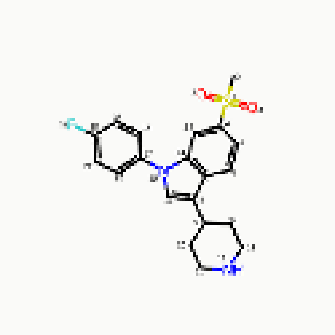 CS(=O)(=O)c1ccc2c(C3CCNCC3)cn(-c3ccc(F)cc3)c2c1